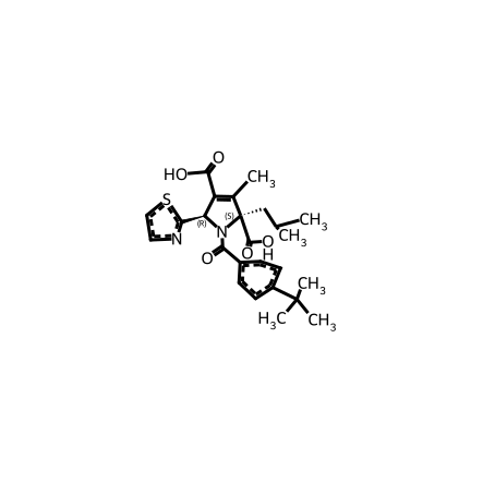 CC1=C(C(=O)O)[C@H](c2nccs2)N(C(=O)c2ccc(C(C)(C)C)cc2)[C@]1(CC(C)C)C(=O)O